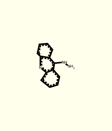 NNc1c2ccccc2nc2ccccc12